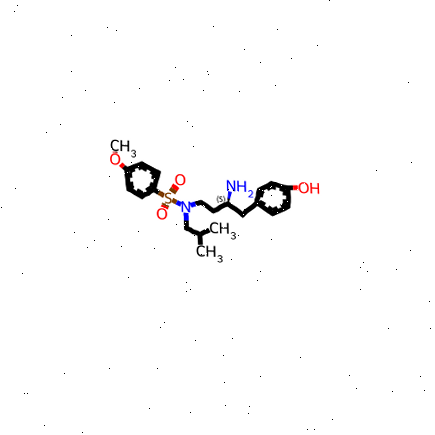 COc1ccc(S(=O)(=O)N(CC[C@@H](N)Cc2ccc(O)cc2)CC(C)C)cc1